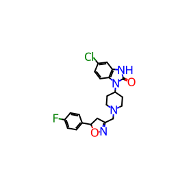 O=c1[nH]c2cc(Cl)ccc2n1C1CCN(CC2=NOC(c3ccc(F)cc3)C2)CC1